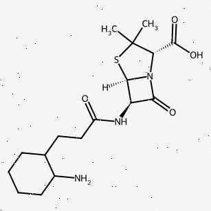 CC1(C)S[C@@H]2[C@H](NC(=O)CCC3CCCCC3N)C(=O)N2[C@H]1C(=O)O